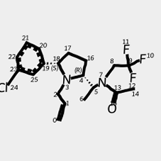 C=CCN1[C@@H](C(C)N(CC(F)(F)F)C(C)=O)CC[C@H]1c1cccc(Cl)c1